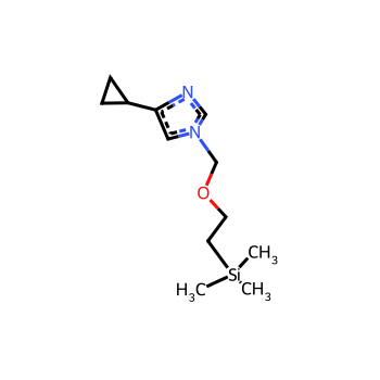 C[Si](C)(C)CCOCn1cnc(C2CC2)c1